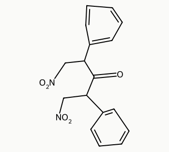 O=C(C(C[N+](=O)[O-])c1ccccc1)C(C[N+](=O)[O-])c1ccccc1